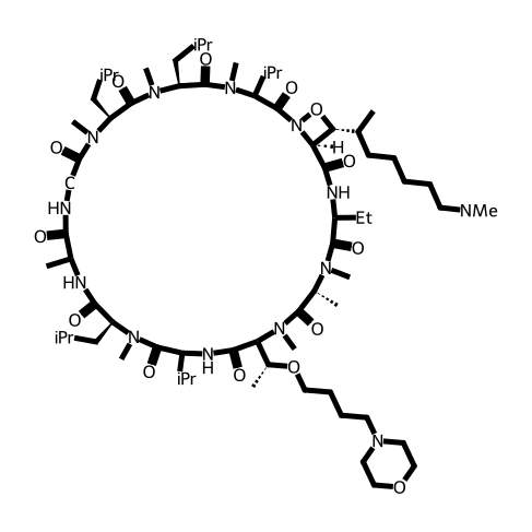 CCC1NC(=O)[C@@H]2[C@@H](C(C)CCCCCNC)ON2C(=O)C(C(C)C)N(C)C(=O)[C@H](CC(C)C)N(C)C(=O)[C@H](CC(C)C)N(C)C(=O)CNC(=O)C(C)NC(=O)[C@H](CC(C)C)N(C)C(=O)C(C(C)C)NC(=O)C([C@@H](C)OCCCCN2CCOCC2)N(C)C(=O)[C@@H](C)N(C)C1=O